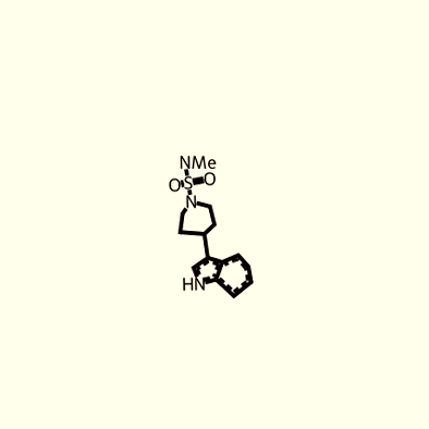 CNS(=O)(=O)N1CCC(c2c[nH]c3ccccc23)CC1